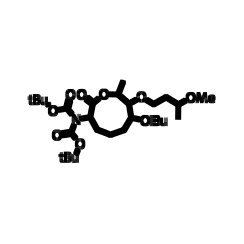 COC(C)CCOC1C(C)OC(=O)C(N(C(=O)OC(C)(C)C)C(=O)OC(C)(C)C)CCCC1OCC(C)C